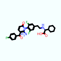 Nc1c(C(=O)c2ccc(F)cc2)ccc(=O)n1-c1c(F)cc(CCN[C@H](C(=O)O)C2CCCCC2)cc1F